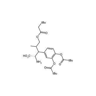 CC(COC(=O)CC(C)(C)C)C(c1ccc(OC(=O)C(C)(C)C)c(OC(=O)C(C)(C)C)c1)[C@H](N)C(=O)O